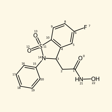 O=C(CC1c2cc(F)ccc2S(=O)(=O)N1c1ccccc1)NO